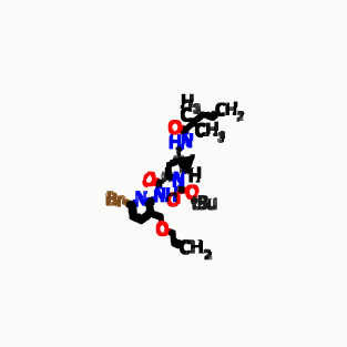 C=CCOCc1ccc(Br)nc1NC(=O)[C@@H]1C[C@@]2(CNC(=O)C(C)(C)CC=C)C[C@H]2N1C(=O)OC(C)(C)C